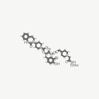 CONC(=O)CN1CCC(C=C=C=NC(=O)[C@@H](Cc2ccc(O)c(Br)c2)OC(=O)N2CCC(N3CCc4ccccc4NC3=O)CC2)CC1